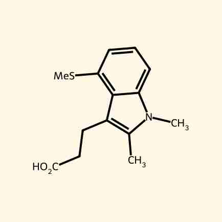 CSc1cccc2c1c(CCC(=O)O)c(C)n2C